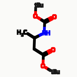 C[C](CC(=O)OC(C)(C)C)NC(=O)OC(C)(C)C